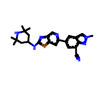 Cn1cc2cc(-c3cc4sc(NC5CC(C)(C)NC(C)(C)C5)nc4cn3)cc(C#N)c2n1